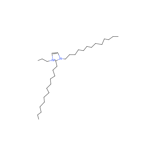 CCCCCCCCCCCCCc1n(CCCCCCCCCCCCC)cc[n+]1CCC